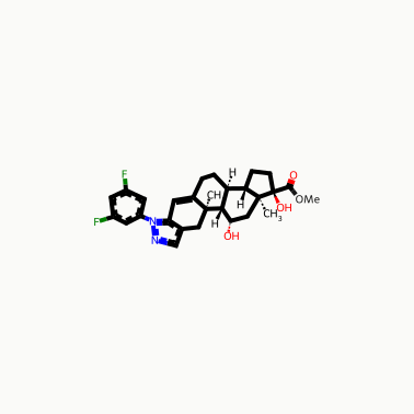 COC(=O)[C@@]1(O)CC[C@H]2[C@@H]3CCC4=Cc5c(cnn5-c5cc(F)cc(F)c5)C[C@]4(C)[C@H]3[C@@H](O)C[C@@]21C